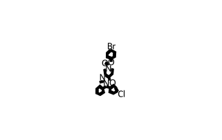 Cc1nc2c(c(=O)n1C(c1ccccc1)c1ccc(Cl)cc1)CCN(C(=O)Oc1ccc(Br)cc1)C2